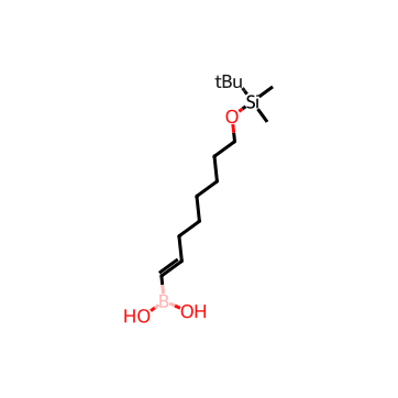 CC(C)(C)[Si](C)(C)OCCCCCC/C=C/B(O)O